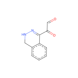 O=CC(=O)C1=NNCc2ccccc21